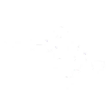 c1ccc(-c2ccc(-c3cc(-c4cccc(-c5c(-c6ccccc6)oc6c(-c7ccccc7)nc7ccccc7c56)c4)nc(-c4ccccc4)n3)cc2)cc1